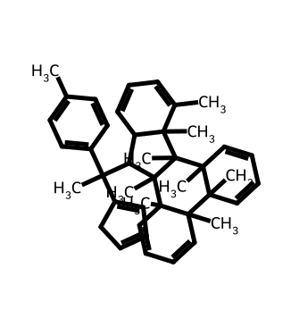 CC1=CC=CC2C(C(C)(C3=CC=CC3)c3ccc(C)cc3)C3(C)C4(C)C=CC=CC4(C)C4(C)C=CC=CC4(C)C3(C)C12C